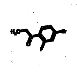 [CH2]CC(=O)c1ccc(Br)cc1F